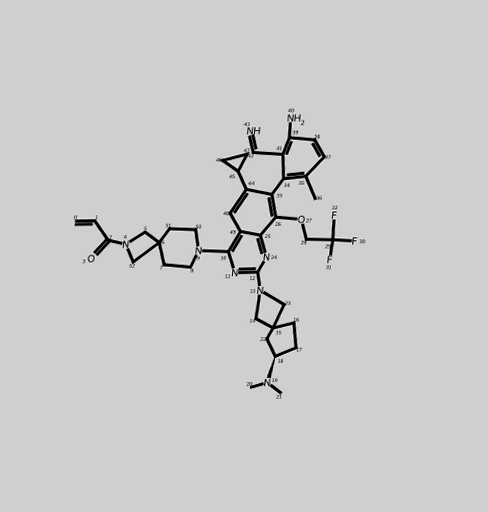 C=CC(=O)N1CC2(CCN(c3nc(N4CC5(CC[C@@H](N(C)C)C5)C4)nc4c(OCC(F)(F)F)c(-c5c(C)ccc(N)c5C=N)c(C5CC5)cc34)CC2)C1